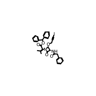 CC(C)=C(C(=O)OC(c1ccccc1)c1ccccc1)N1C(=O)[C@@H](NC(=O)Cc2ccccc2)[C@@H]1OCC#CI